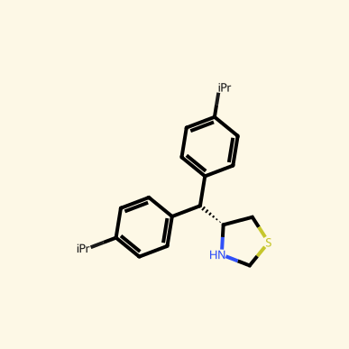 CC(C)c1ccc(C(c2ccc(C(C)C)cc2)[C@@H]2CSCN2)cc1